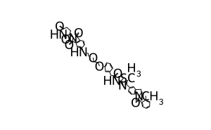 Cc1ccccc1C(=O)N1CCc2cc(-c3nc(NC(=O)Cc4cccc(OCCOCCNc5ccc6c(c5)C(=O)N(C5CCC(=O)NC5=O)C6=O)c4)sc3C)ccc21